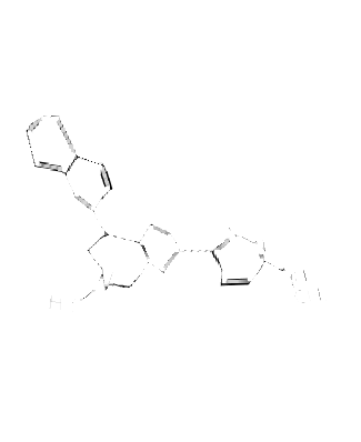 CNc1ccc(-c2ccc3c(c2)CN(C)CC3c2ccc3ccccc3c2)nn1